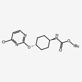 CC(C)(C)OC(=O)N[C@H]1CC[C@H](Oc2nccc(Cl)n2)CC1